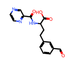 O=Cc1cccc(CCC(NC(=O)c2cnccn2)C(=O)O)c1